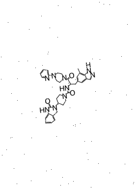 Cc1cc(CC(NC(=O)N2CCC(N3Cc4ccccc4NC3=O)CC2)C(=O)N2CCN(c3ccccn3)CC2)cc2cn[nH]c12